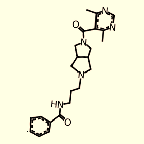 Cc1ncnc(C)c1C(=O)N1CC2CN(CCCNC(=O)c3cc[c]cc3)CC2C1